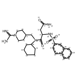 N=C(N)N1CCC(CN(C(=O)C(CC(N)=O)NS(=O)(=O)c2ccc3ccccc3c2)C2CCCCC2)CC1